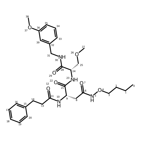 CCCCONC(=O)C[C@H](NC(=O)CCc1ccccc1)C(=O)N[C@@H](COC)C(=O)NCc1cccc(OC)c1